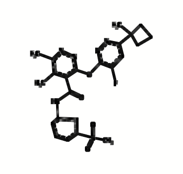 Cc1c(C(F)(F)F)nnc(Oc2nnc(C3(C(F)(F)F)CCC3)cc2F)c1C(=O)Nc1cccc(S(C)(=O)=O)c1